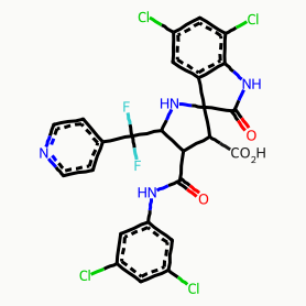 O=C(Nc1cc(Cl)cc(Cl)c1)C1C(C(F)(F)c2ccncc2)NC2(C(=O)Nc3c(Cl)cc(Cl)cc32)C1C(=O)O